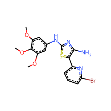 COc1cc(Nc2nc(N)c(-c3cccc(Br)n3)s2)cc(OC)c1OC